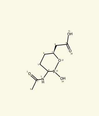 CC(=O)NC1CC[C@@H](CC(=O)O)OB1O